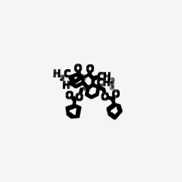 C=C1C(=O)[C@@]23CC[C@@H](CC2[C@]2(COC(=O)c4ccccc4)CCC[C@@](C)(COC(=O)c4ccccc4)C12)C(=C)C3=O